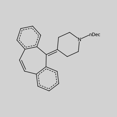 CCCCCCCCCCN1CCC(=C2c3ccccc3C=Cc3ccccc32)CC1